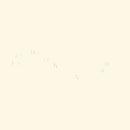 C=CC1=C(C=C)C(C)(C)c2c1ccc1c3ccc(N(c4ccc(-c5ccccc5)cc4)c4ccc5c(c4)C(C)(C)c4ccccc4-5)cc3n(-c3ccccc3)c21